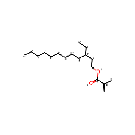 C=C(C)C(=O)OCCC(CC)CCCCCCCCC